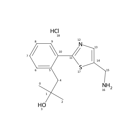 CC(C)(O)Cc1ccccc1-c1ncc(CN)s1.Cl